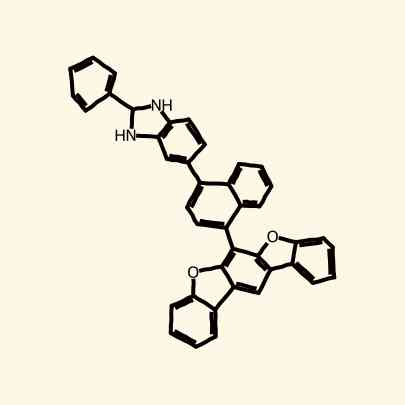 c1ccc(C2Nc3ccc(-c4ccc(-c5c6oc7ccccc7c6cc6c5oc5ccccc56)c5ccccc45)cc3N2)cc1